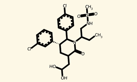 CCC(CNS(C)(=O)=O)N1C(=O)C(CC(O)O)C[C@H](c2cccc(Cl)c2)C1c1ccc(Cl)cc1